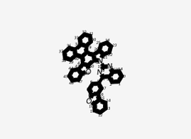 c1ccc2c(-c3ccc4oc5ccccc5c4c3)nc(-n3c4ccccc4c4c5c6ccccc6c6ccccc6c5c5c6ccccc6oc5c43)nc2c1